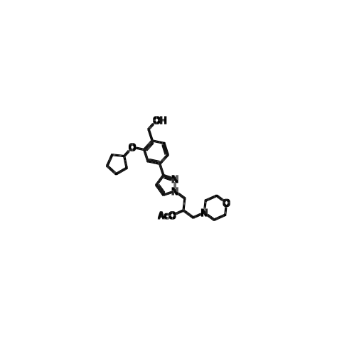 CC(=O)OC(CN1CCOCC1)Cn1ccc(-c2ccc(CO)c(OC3CCCC3)c2)n1